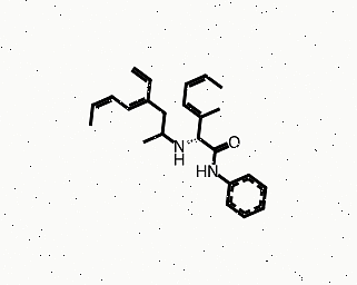 C=C/C(=C\C=C/C)CC(C)N[C@@H](C(=O)Nc1ccccc1)/C(C)=C/C=C\C